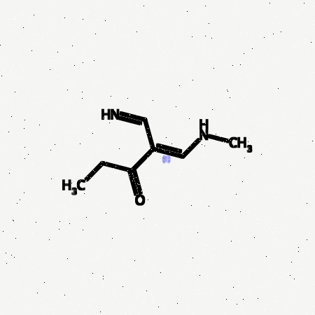 CCC(=O)/C(C=N)=C/NC